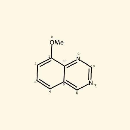 COc1cccc2cn[c]nc12